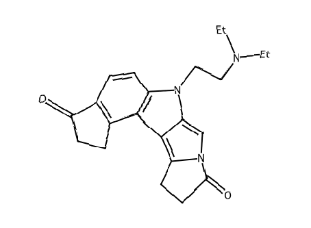 CCN(CC)CCn1c2ccc3c(c2c2c4n(cc21)C(=O)CC4)CCC3=O